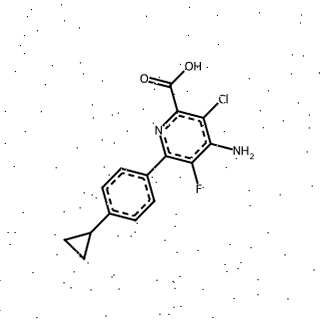 Nc1c(F)c(-c2ccc(C3CC3)cc2)nc(C(=O)O)c1Cl